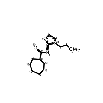 COCCn1ccsc1=NC(=O)C1CCCCCC1